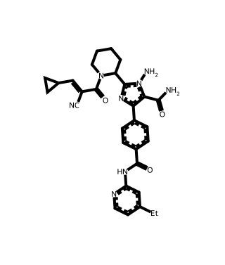 CCc1ccnc(NC(=O)c2ccc(-c3nc(C4CCCCN4C(=O)/C(C#N)=C/C4CC4)n(N)c3C(N)=O)cc2)c1